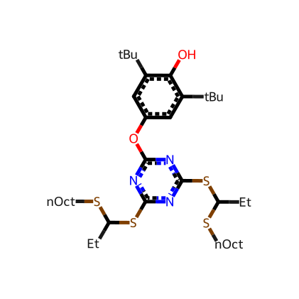 CCCCCCCCSC(CC)Sc1nc(Oc2cc(C(C)(C)C)c(O)c(C(C)(C)C)c2)nc(SC(CC)SCCCCCCCC)n1